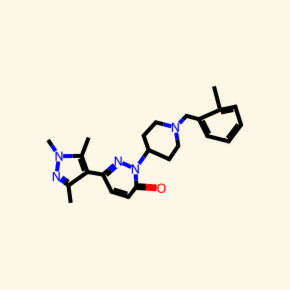 Cc1ccccc1CN1CCC(n2nc(-c3c(C)nn(C)c3C)ccc2=O)CC1